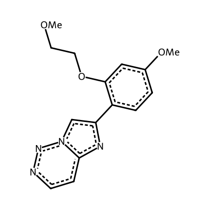 COCCOc1cc(OC)ccc1-c1cn2nnccc2n1